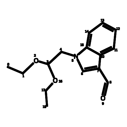 CCOC(Cn1cc(C=O)c2ccccc21)OCC